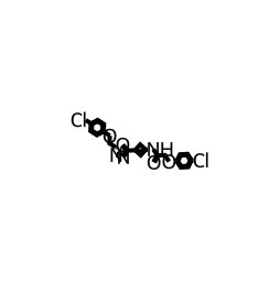 O=C(COc1ccc(Cl)cc1)NC12CC(c3nnc(COc4ccc(Cl)cc4)o3)(C1)C2